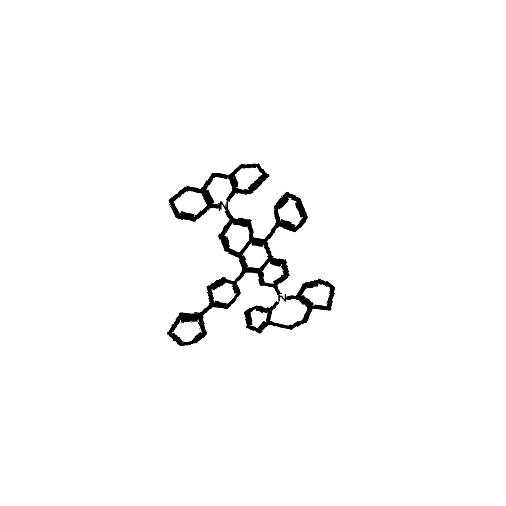 C1=CC2=C(CC1)CC1=C(C=CCC1)N2c1ccc2c(-c3ccc(-c4ccccc4)cc3)c3cc(N4C5=C(CCC=C5)CCc5ccccc54)ccc3c(-c3ccccc3)c2c1